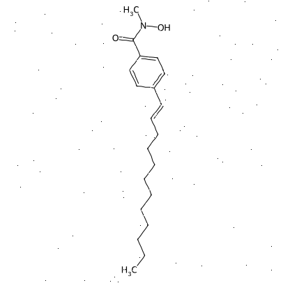 CCCCCCCCCCC=Cc1ccc(C(=O)N(C)O)cc1